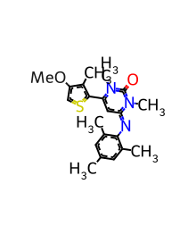 COc1csc(-c2cc(=Nc3c(C)cc(C)cc3C)n(C)c(=O)n2C)c1C